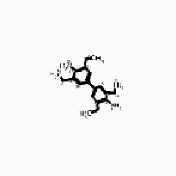 CCc1cc(-c2cc(CC)c(N)c(CC)c2)cc(CC)c1N